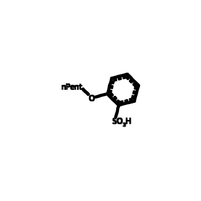 CCCCCOc1ccccc1S(=O)(=O)O